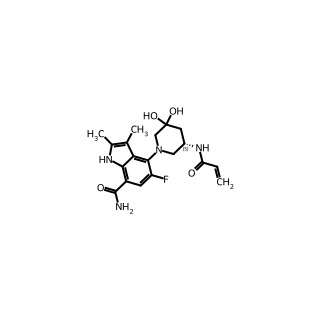 C=CC(=O)N[C@@H]1CN(c2c(F)cc(C(N)=O)c3[nH]c(C)c(C)c23)CC(O)(O)C1